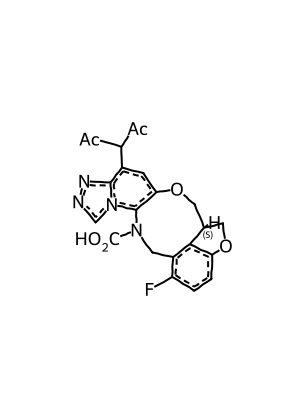 CC(=O)C(C(C)=O)c1cc2c(n3cnnc13)N(C(=O)O)Cc1c(F)ccc3c1[C@@H](CO3)CO2